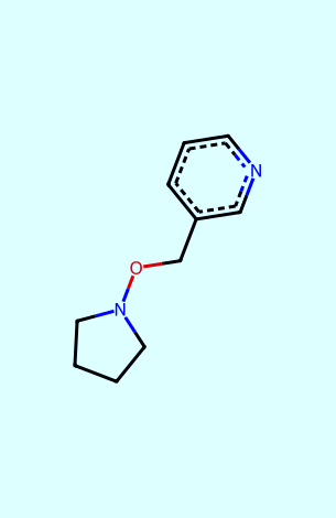 c1cncc(CON2CCCC2)c1